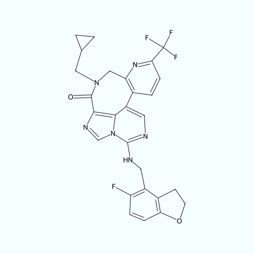 O=C1c2ncn3c(NCc4c(F)ccc5c4CCO5)ncc(c23)-c2ccc(C(F)(F)F)nc2CN1CC1CC1